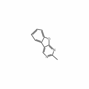 Cc1ncc2c(n1)oc1ccccc12